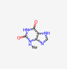 O=c1[nH]c(=O)c2[nH]cnc2[nH]1.[Na]